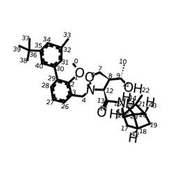 COc1c(CN2OC[C@@H]([C@H](C)O)[C@H]2C(=O)N[C@H]2C[C@H]3C[C@@H]([C@@H]2C)C3(C)C)cccc1-c1cc(C)cc(C(C)(C)C)c1